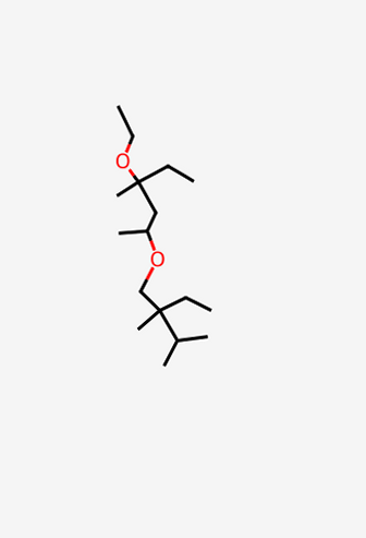 CCOC(C)(CC)CC(C)OCC(C)(CC)C(C)C